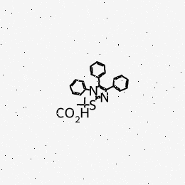 CC(C)(Sc1nc(-c2ccccc2)c(-c2ccccc2)n1-c1ccccc1)C(=O)O